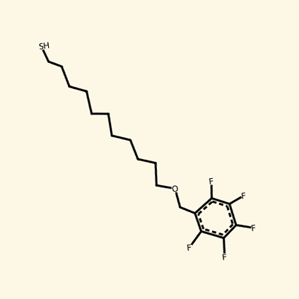 Fc1c(F)c(F)c(COCCCCCCCCCCCS)c(F)c1F